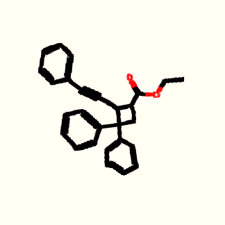 CCOC(=O)C1CC(c2ccccc2)(c2ccccc2)C1C#Cc1ccccc1